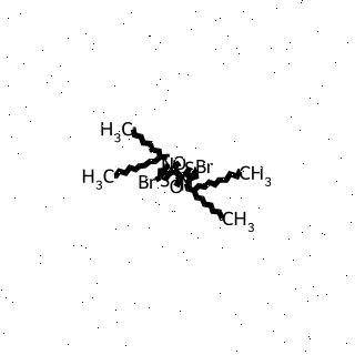 CCCCCCCCCCC(CCCCCCCC)CN1C(=O)/C(=C2/C(=O)N(CC(CCCCCCCC)CCCCCCCCCC)c3cc(Br)sc32)c2sc(Br)cc21